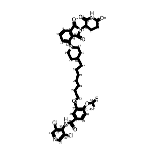 O=C1CCC(N2C(=O)c3cccc(N4CCC(CCCCCCCOc5cc(C(=O)Nc6c(Cl)cncc6Cl)ccc5OC(F)F)CC4)c3C2=O)C(=O)N1